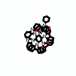 c1ccc(-n2c3cccnc3c3c2ccc2c4ccccc4n(-c4c(-n5c6ccccc6c6ccccc65)c(-n5cnc6ccccc65)c(-n5cnc6ccccc65)c(-n5c6ccccc6c6ccccc65)c4-n4c5ccccc5c5ccccc54)c23)cc1